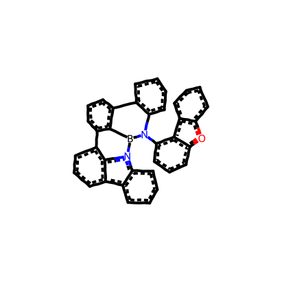 c1ccc2c(c1)-c1cccc3c1B(N2c1cccc2oc4ccccc4c12)n1c2ccccc2c2cccc-3c21